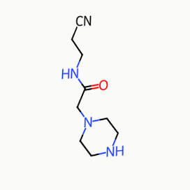 N#CCCNC(=O)CN1CCNCC1